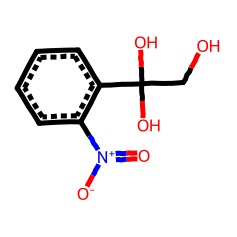 O=[N+]([O-])c1ccccc1C(O)(O)CO